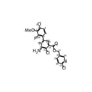 COc1c(Cl)ccc(-c2nc(N)c(Cl)c(C(=O)OCc3ccc(Cl)nc3)n2)c1F